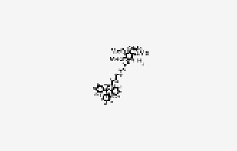 COc1c(C)c(CCCCCCCCCC[PH](c2ccccc2)(c2ccccc2)c2ccccc2)c(OC)c(OC)c1OC